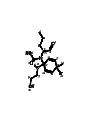 CCC[C@@H](C=O)N(C(=O)O)C1(N(C)CCO)C=CC(C)(Br)C=C1